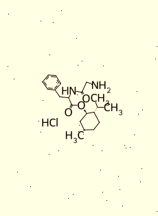 CC(C)[C@@H]1CC[C@@H](C)C[C@H]1OC(=O)C(Cc1ccccc1)NC(=O)CN.Cl